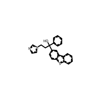 OC(CCn1ccnc1)(c1ccccc1)c1ccc2sc3ccccc3c2c1